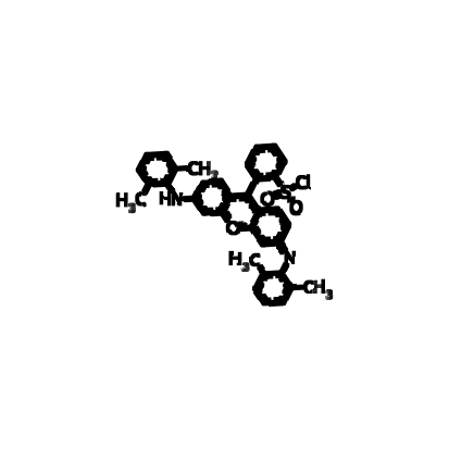 Cc1cccc(C)c1/N=c1/ccc2c(-c3ccccc3S(=O)(=O)Cl)c3ccc(Nc4c(C)cccc4C)cc3oc-2c1